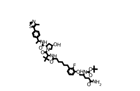 Cc1ncsc1-c1ccc(C(C)NC(=O)[C@@H]2C[C@@H](O)CN2C(=O)C(NC(=O)CCCCCc2cccc(OCC(CCC(N)=O)NC(=O)OC(C)(C)C)c2F)C(C)(C)C)cc1